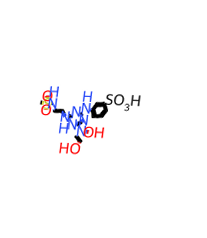 CS(=O)(=O)NCCNc1nc(Nc2cccc(S(=O)(=O)O)c2)nc(N(O)CCO)n1